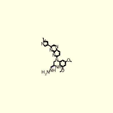 COc1cc(OC)cc(N(C/C(N)=C/NN)c2ccc3ncc(-c4cnn(C)c4)nc3n2)c1